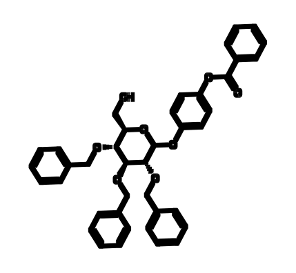 O=C(Oc1ccc(OC2O[C@H](CO)[C@@H](OCc3ccccc3)[C@H](OCc3ccccc3)[C@H]2OCc2ccccc2)cc1)c1ccccc1